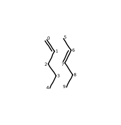 C=CCCC.CC=CCC